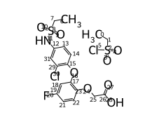 CCS(=O)(=O)Cl.CCS(=O)(=O)Nc1ccc(Oc2cc(F)ccc2OCC(=O)O)c(Cl)c1